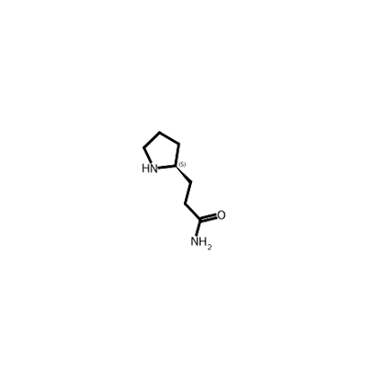 NC(=O)CC[C@@H]1CCCN1